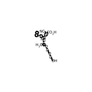 CN1C[C@H](OCCOCCOCCOCCO)C[C@H]1COc1nc2c(c(N3CCN(C(=O)O)C(CC#N)C3)n1)CCN(c1cccc3ccccc13)C2